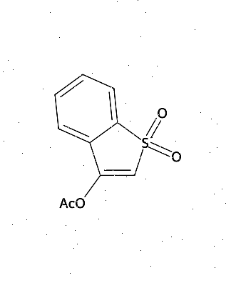 CC(=O)OC1=CS(=O)(=O)c2ccccc21